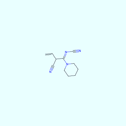 C=CC(C#N)/C(=N/C#N)N1CCCCC1